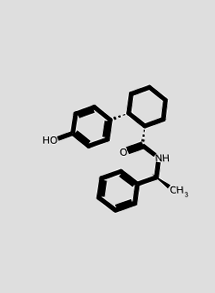 C[C@H](NC(=O)[C@H]1CCCC[C@H]1c1ccc(O)cc1)c1ccccc1